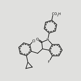 O=C(O)c1ccc(N2C(=O)C(Cc3c(Cl)cccc3C3CC3)c3c(F)cccc32)cc1